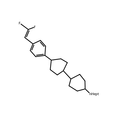 CCCCCCCC1CCC(C2CCC(c3ccc(C=C(F)F)cc3)CC2)CC1